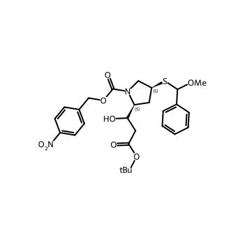 COC(S[C@H]1C[C@@H](C(O)CC(=O)OC(C)(C)C)N(C(=O)OCc2ccc([N+](=O)[O-])cc2)C1)c1ccccc1